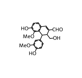 COc1cc(C2c3c(ccc(O)c3OC)C=C(C=O)C2CO)ccc1O